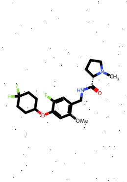 COc1cc(OC2CCC(F)(F)CC2)c(F)cc1CNC(=O)[C@@H]1CCCN1C